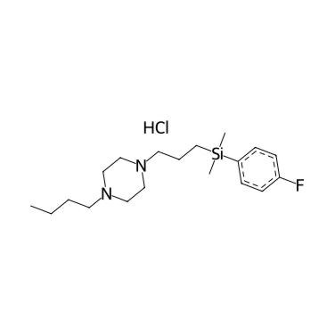 CCCCN1CCN(CCC[Si](C)(C)c2ccc(F)cc2)CC1.Cl